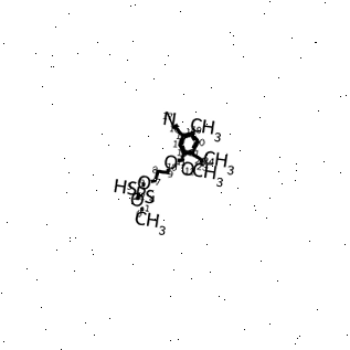 CCOP(=S)(S)OCCCOC(=O)c1cc(C#N)c(C)cc1C(C)C